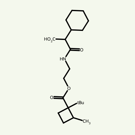 CC1CCC1(C(=O)OCCNC(=O)C(C(=O)O)C1CCCCC1)C(C)(C)C